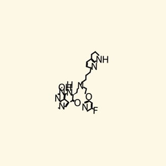 CC(=O)[C@H](CCN(CCCCc1ccc2c(n1)NCCC2)CCOc1cncc(F)c1)Nc1c2ccn(C)c2nc[n+]1O